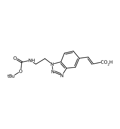 CC(C)(C)OC(=O)NCCn1nnc2cc(C=CC(=O)O)ccc21